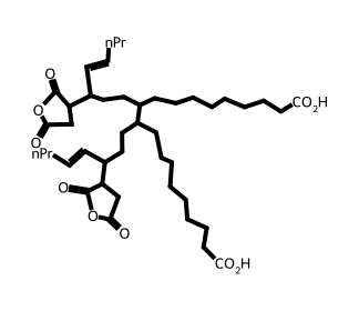 CCC/C=C/C(CCC(CCCCCCCCC(=O)O)C(CCCCCCCCC(=O)O)CCC(/C=C/CCC)C1CC(=O)OC1=O)C1CC(=O)OC1=O